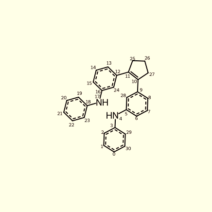 c1ccc(Nc2cccc(C3=C(c4cccc(Nc5ccccc5)c4)CCC3)c2)cc1